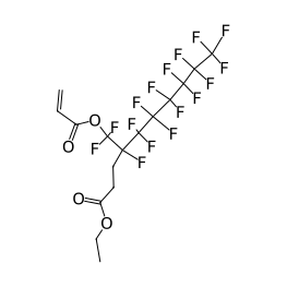 C=CC(=O)OC(F)(F)C(F)(CCC(=O)OCC)C(F)(F)C(F)(F)C(F)(F)C(F)(F)C(F)(F)C(F)(F)F